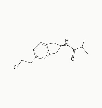 CC(C)C(=O)N[C@@H]1Cc2ccc(CCCl)cc2C1